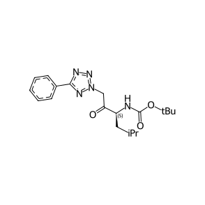 CC(C)C[C@H](NC(=O)OC(C)(C)C)C(=O)Cn1nnc(-c2ccccc2)n1